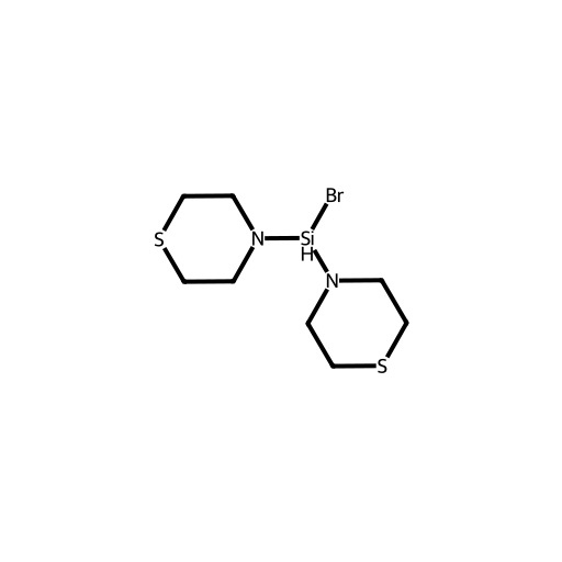 Br[SiH](N1CCSCC1)N1CCSCC1